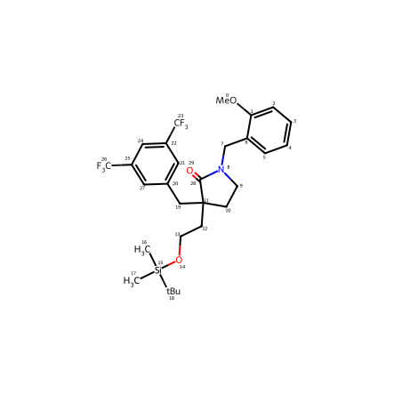 COc1ccccc1CN1CCC(CCO[Si](C)(C)C(C)(C)C)(Cc2cc(C(F)(F)F)cc(C(F)(F)F)c2)C1=O